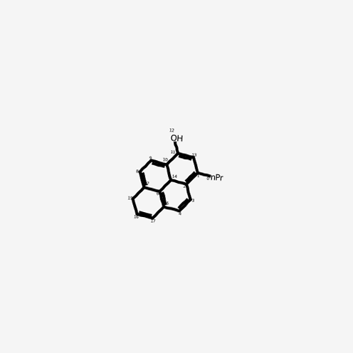 CCCC1=C2C=CC3=C4C(=CC=C(C(O)=C1)C24)CC=C3